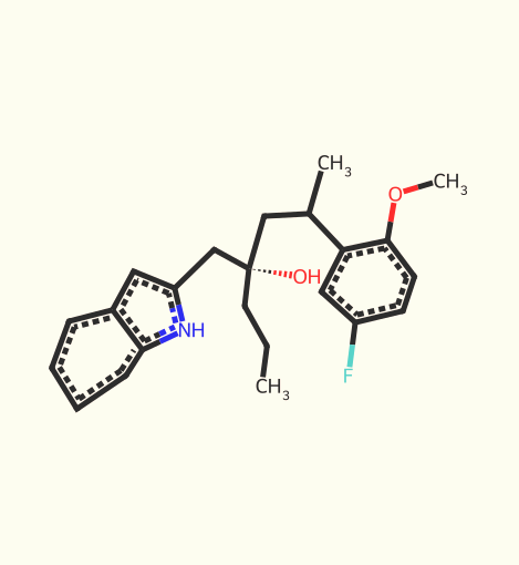 CCC[C@@](O)(Cc1cc2ccccc2[nH]1)CC(C)c1cc(F)ccc1OC